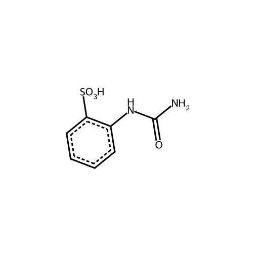 NC(=O)Nc1ccccc1S(=O)(=O)O